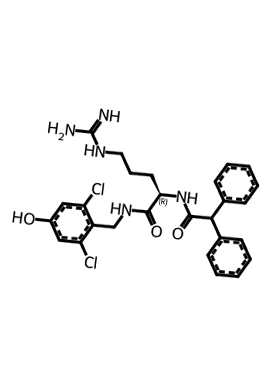 N=C(N)NCCC[C@@H](NC(=O)C(c1ccccc1)c1ccccc1)C(=O)NCc1c(Cl)cc(O)cc1Cl